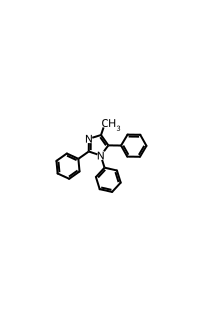 Cc1nc(-c2ccccc2)n(-c2ccccc2)c1-c1ccccc1